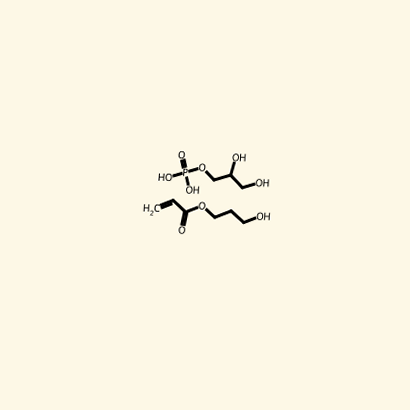 C=CC(=O)OCCCO.O=P(O)(O)OCC(O)CO